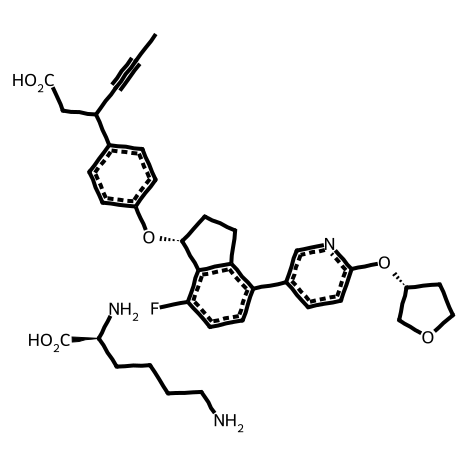 CC#CC(CC(=O)O)c1ccc(O[C@@H]2CCc3c(-c4ccc(O[C@@H]5CCOC5)nc4)ccc(F)c32)cc1.NCCCC[C@H](N)C(=O)O